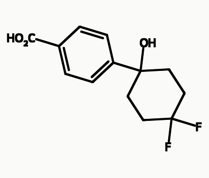 O=C(O)c1ccc(C2(O)CCC(F)(F)CC2)cc1